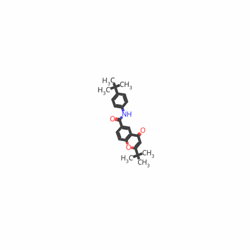 CC(C)(C)c1ccc(NC(=O)c2ccc3oc(C(C)(C)C)cc(=O)c3c2)cc1